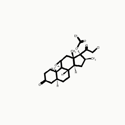 CCC(=O)O[C@]1(C(=O)CCl)[C@@H](C)C[C@H]2[C@@H]3CC[C@H]4CC(=O)CC[C@]4(C)[C@]34OC4C[C@@]21C